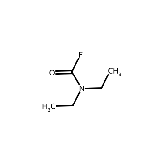 CCN(CC)C(=O)F